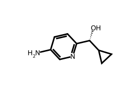 Nc1ccc([C@H](O)C2CC2)nc1